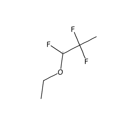 CCO[C](F)C(C)(F)F